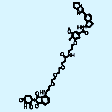 COc1cc(C(=O)N[C@@H]2CCc3ccc(-c4cn5c(n4)CCC5)cc32)cc(OCCCNC(=O)CCOCCOCCOCCNc2cccc3c2C(=O)N(C2CCC(=O)NC2=O)C3=O)c1C